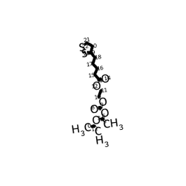 CC(C)OC(C)OC(=O)OCCOC(=O)CCCCC1CCSS1